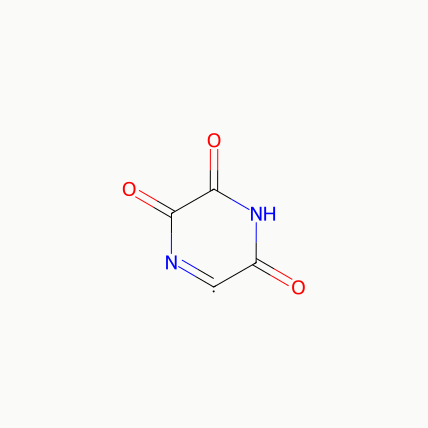 O=C1[C]=NC(=O)C(=O)N1